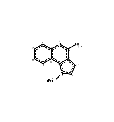 CCCCCn1cnc2c(N)nc3ccccc3c21